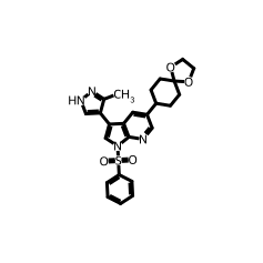 Cc1n[nH]cc1-c1cn(S(=O)(=O)c2ccccc2)c2ncc(C3CCC4(CC3)OCCO4)cc12